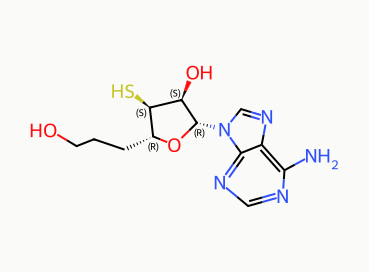 Nc1ncnc2c1ncn2[C@@H]1O[C@H](CCCO)[C@@H](S)[C@H]1O